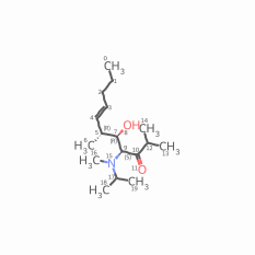 CCCC=C[C@@H](C)[C@@H](O)[C@@H](C(=O)C(C)C)N(C)C(C)C